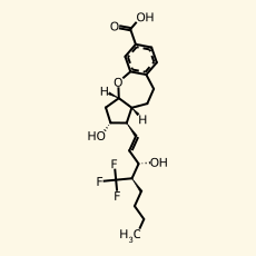 CCCC[C@H]([C@@H](O)/C=C/[C@@H]1[C@H]2CCc3ccc(C(=O)O)cc3O[C@H]2C[C@H]1O)C(F)(F)F